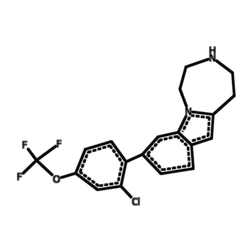 FC(F)(F)Oc1ccc(-c2ccc3cc4n(c3c2)CCNCC4)c(Cl)c1